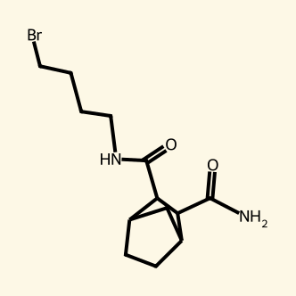 NC(=O)C1C2CCC(C2)C1C(=O)NCCCCBr